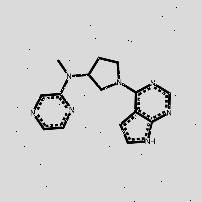 CN(c1cnccn1)C1CCN(c2ncnc3[nH]ccc23)C1